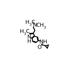 Cc1[nH]c2ccc(NC(=O)C3CC3)cc2c1CCN(C)C